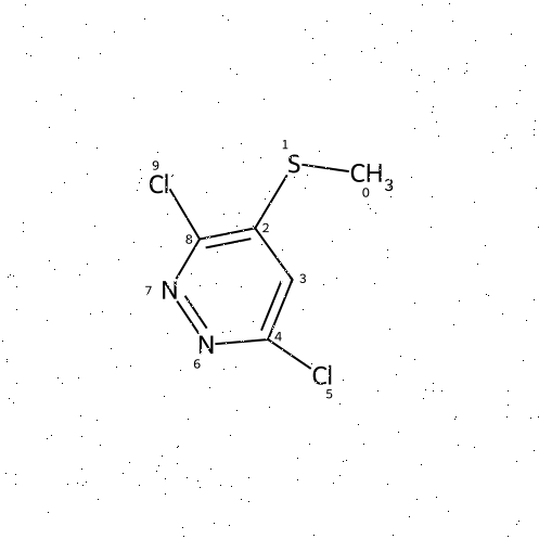 CSc1cc(Cl)nnc1Cl